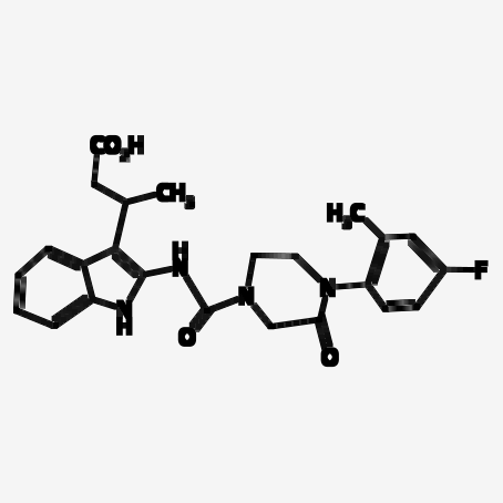 Cc1cc(F)ccc1N1CCN(C(=O)Nc2[nH]c3ccccc3c2C(C)CC(=O)O)CC1=O